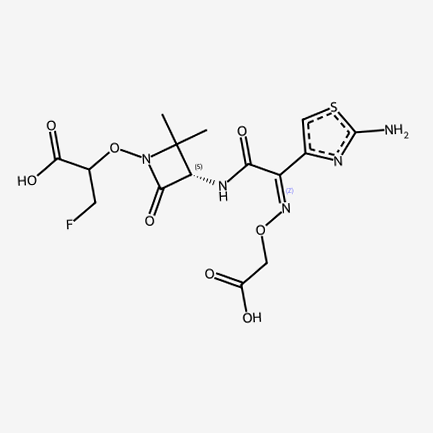 CC1(C)[C@H](NC(=O)/C(=N\OCC(=O)O)c2csc(N)n2)C(=O)N1OC(CF)C(=O)O